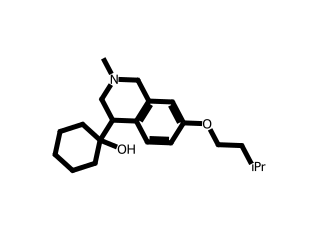 CC(C)CCOc1ccc2c(c1)CN(C)CC2C1(O)CCCCC1